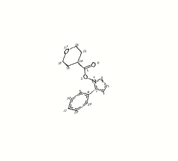 O=C(On1cccc1-c1ccccc1)C1CCOCC1